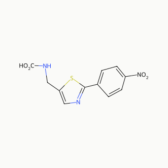 O=C(O)NCc1cnc(-c2ccc([N+](=O)[O-])cc2)s1